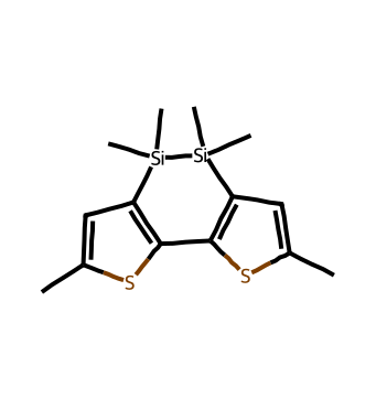 Cc1cc2c(s1)-c1sc(C)cc1[Si](C)(C)[Si]2(C)C